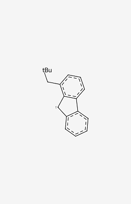 CC(C)(C)Cc1cccc2c1[C]c1ccccc1-2